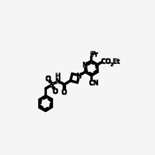 CCOC(=O)c1cc(C#N)c(N2CC(C(=O)NS(=O)(=O)Cc3ccccc3)C2)nc1C(C)C